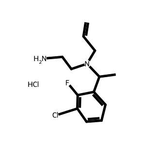 C=CCN(CCN)C(C)c1cccc(Cl)c1F.Cl